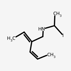 C/C=C\C(=C/C)CNC(C)I